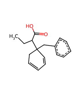 CCC(C(=O)O)C1(Cc2ccccc2)C=CC=CC1